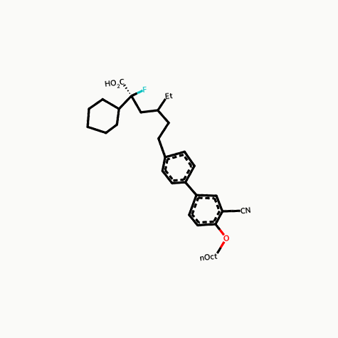 CCCCCCCCOc1ccc(-c2ccc(CCC(CC)C[C@@](F)(C(=O)O)C3CCCCC3)cc2)cc1C#N